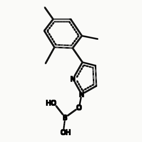 Cc1cc(C)c(-c2ccn(OB(O)O)n2)c(C)c1